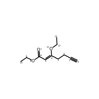 C#CCC/C(=C/C(=O)OCC)OCC